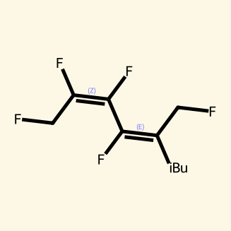 CCC(C)/C(CF)=C(F)/C(F)=C(/F)CF